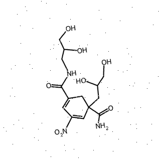 NC(=O)C1(CC(O)CO)C=C([N+](=O)[O-])C=C(C(=O)NCC(O)CO)C1